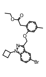 CCOC(=O)Cc1ccc(C)cc1OCc1nn(C2CCC2)c2ccc(Br)cc12